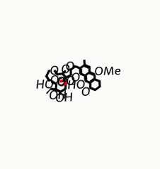 COc1c2c(c(O)c3c4c(c(C)cc13)C1OC3(C5OCCCO5)OC1[C@@](O[C@H]1CC(O)[C@@](O)([C@@H](C)O)C(C)O1)(O4)[C@@]31CO1)C(=O)CCC2